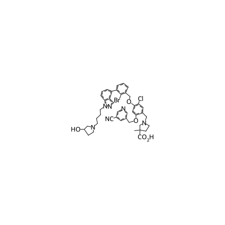 CC1(C(=O)O)CCN(Cc2cc(Cl)c(OCc3cccc(-c4cccc5c4cnn5CCCCN4CCC(O)C4)c3Br)cc2OCc2cncc(C#N)c2)C1